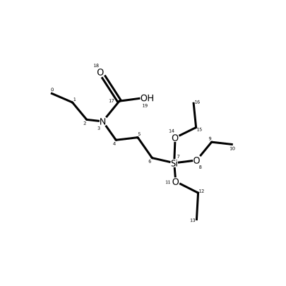 CCCN(CCC[Si](OCC)(OCC)OCC)C(=O)O